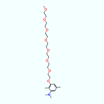 COCCOCCOCCOCCOCCOCCOCCOc1cc(C)cc(N(C)C)c1C